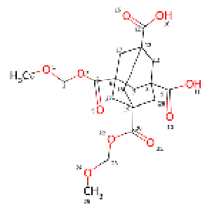 COCOC(=O)C12CC3(C(=O)O)CC(C(=O)O)(C1)CC(C(=O)OCOC)(C3)C2